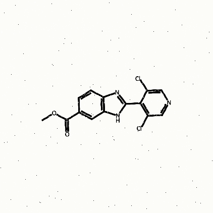 COC(=O)c1ccc2nc(-c3c(Cl)cncc3Cl)[nH]c2c1